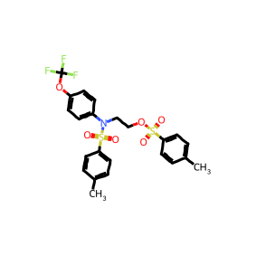 Cc1ccc(S(=O)(=O)OCCN(c2ccc(OC(F)(F)F)cc2)S(=O)(=O)c2ccc(C)cc2)cc1